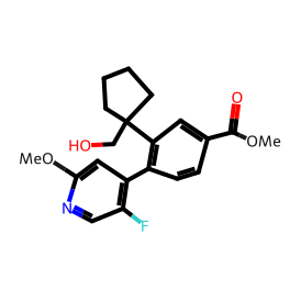 COC(=O)c1ccc(-c2cc(OC)ncc2F)c(C2(CO)CCCC2)c1